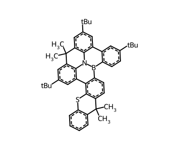 CC(C)(C)c1ccc2c(c1)-c1cc(C(C)(C)C)cc3c1N1B2c2ccc4c(c2-c2cc(C(C)(C)C)cc(c21)C3(C)C)Sc1ccccc1C4(C)C